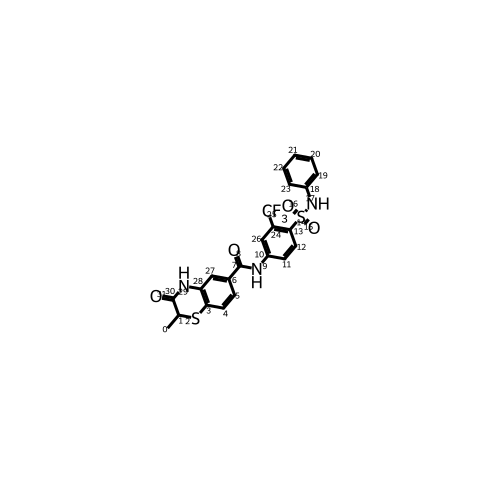 CC1Sc2ccc(C(=O)Nc3ccc(S(=O)(=O)Nc4ccccc4)c(C(F)(F)F)c3)cc2NC1=O